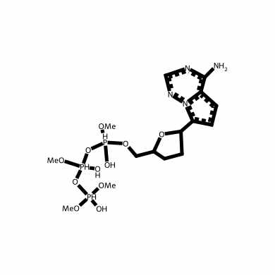 CO[PH](O)(OC)O[PH](O)(OC)O[PH](O)(OC)OCC1CCC(c2ccc3c(N)ncnn23)O1